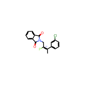 C/C(=C(\F)CN1C(=O)c2ccccc2C1=O)c1cccc(Cl)c1